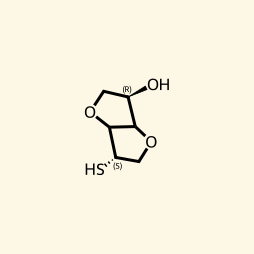 O[C@@H]1COC2C1OC[C@@H]2S